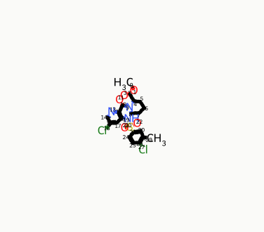 COC(=O)C1CCCCN1C(=O)c1ncc(Cl)cc1NS(=O)(=O)c1ccc(Cl)c(C)c1